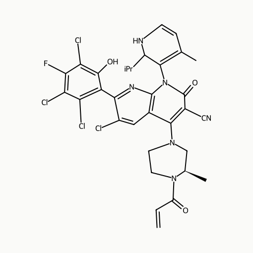 C=CC(=O)N1CCN(c2c(C#N)c(=O)n(C3=C(C)C=CNC3C(C)C)c3nc(-c4c(O)c(Cl)c(F)c(Cl)c4Cl)c(Cl)cc23)C[C@H]1C